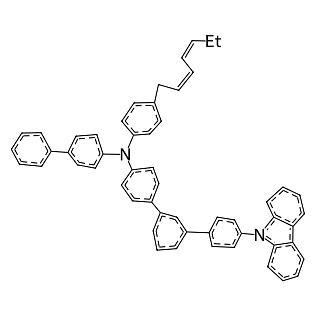 CC/C=C\C=C/Cc1ccc(N(c2ccc(-c3ccccc3)cc2)c2ccc(-c3cccc(-c4ccc(-n5c6ccccc6c6ccccc65)cc4)c3)cc2)cc1